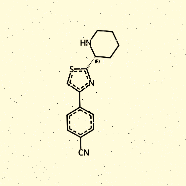 N#Cc1ccc(-c2csc([C@H]3CCCCN3)n2)cc1